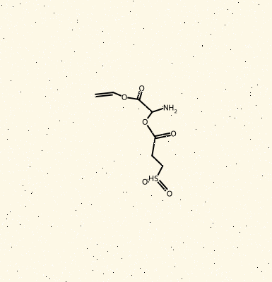 C=COC(=O)C(N)OC(=O)CC[SH](=O)=O